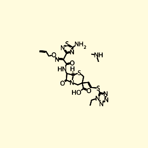 C=CCON=C(C(=O)NC1C(=O)N2CC(C=CSc3nnnn3CC)(C(=O)O)CS[C@H]12)c1nsc(N)n1.CNC